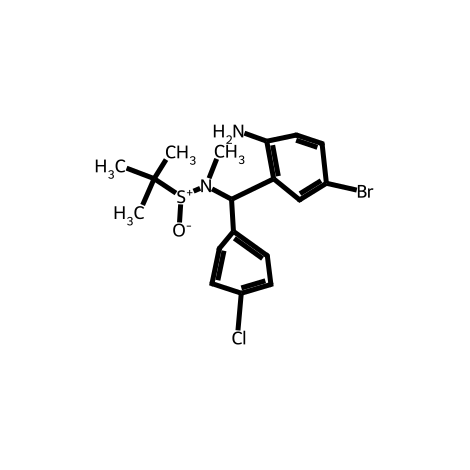 CN(C(c1ccc(Cl)cc1)c1cc(Br)ccc1N)[S+]([O-])C(C)(C)C